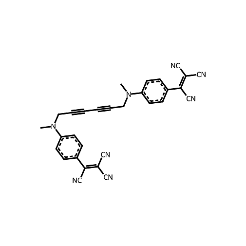 CN(CC#CC#CCN(C)c1ccc(C(C#N)=C(C#N)C#N)cc1)c1ccc(C(C#N)=C(C#N)C#N)cc1